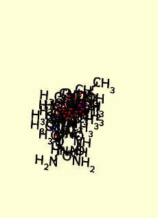 C/C=C(\NC(=O)[C@H](NC(=O)[C@H](CC(C)C)NC(=O)[C@@H](CCC(N)=O)NC(=O)[C@@H](NC(=O)[C@H](NC(=O)[C@@H](CC(C)C)NC(=O)[C@@H](CO)NC(=O)[C@H](NC(=O)[C@@H](CC(C)C)NC(=O)[C@@H](CO)NC(=O)[C@H]1CCCN1C(=O)/C(=C/C)NC(=O)CC(O)CCCCC)C(C)C)C(C)C)C(C)C)C(C)C)C(=O)N[C@H]1C(=O)N[C@@H](CC(C)C)C(=O)NCC(=O)N[C@H](CCN)C(=O)N[C@@H](CCCCN)C(=O)O[C@@H]1C